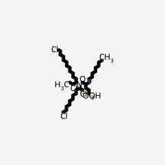 CCCCCCCC/C=C/C(CCC(=O)O)C(=O)N(C(CC)CCCCCCCCCCl)C(CCCCCCCCCCCCl)C(C)CC